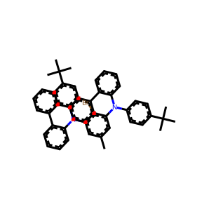 Cc1cc(N(c2ccc(C(C)(C)C)cc2)c2ccccc2-c2ccccc2)c(Br)c(N(c2ccc(C(C)(C)C)cc2)c2ccccc2-c2ccccc2)c1